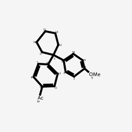 COc1ccc(C2(c3ccc(C(C)=O)cc3)CCCCC2)cc1